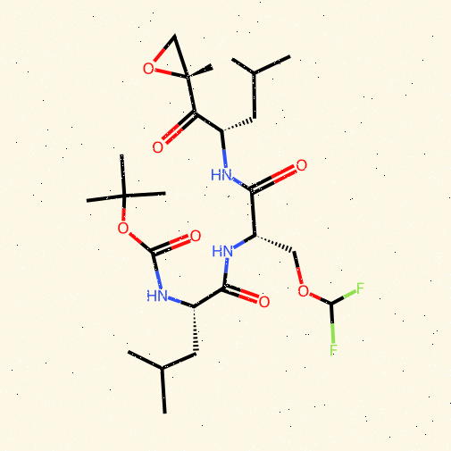 CC(C)C[C@H](NC(=O)OC(C)(C)C)C(=O)N[C@@H](COC(F)F)C(=O)N[C@@H](CC(C)C)C(=O)[C@@]1(C)CO1